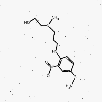 CN(CCO)CCCNc1ccc(SN)cc1[N+](=O)[O-]